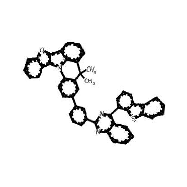 CC1(C)c2cc(-c3cccc(-c4nc(-c5cccc6c5sc5ccccc56)c5ccccc5n4)c3)ccc2-n2c3c1cccc3c1oc3ccccc3c12